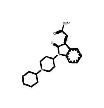 COC(=O)/C=C1\C(=O)N(C2CCN(C3CCCCC3)CC2)c2ccccc21